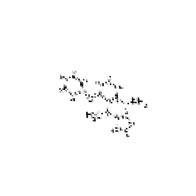 CC(c1cccs1)c1c(CN)cccc1Oc1ccccc1